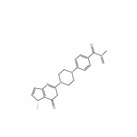 C=[N+](C)C(=O)c1ccc(N2CCN(C3=NC4=C(C(=O)C3)[C@H](C)C=C4)CC2)cc1